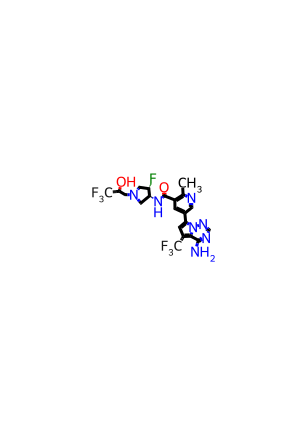 Cc1ncc(-c2cc(C(F)(F)F)c3c(N)ncnn23)cc1C(=O)N[C@@H]1CN(CC(O)C(F)(F)F)C[C@@H]1F